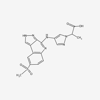 CC(C(=O)O)n1cc(Nc2nc3ccc(S(C)(=O)=O)cc3c3c[nH]nc23)cn1